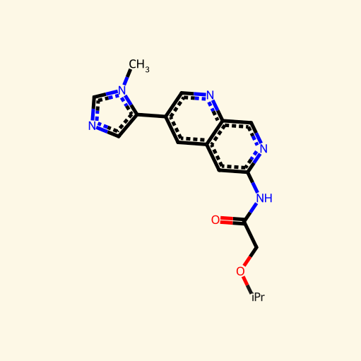 CC(C)OCC(=O)Nc1cc2cc(-c3cncn3C)cnc2cn1